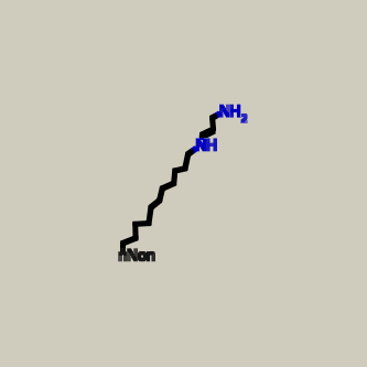 CCCCCCCCCCCCCCCCCCCCNC=CCN